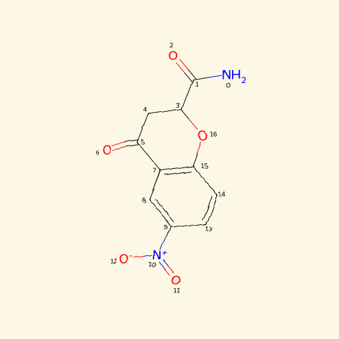 NC(=O)C1CC(=O)c2cc([N+](=O)[O-])ccc2O1